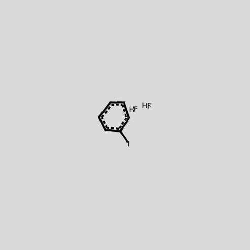 F.F.Ic1ccccc1